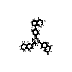 C1=Cc2cc(-c3nc(-c4ccc(-c5cccc6cccnc56)cc4)nc(-c4ccc5ccccc5c4)n3)ccc2CC1